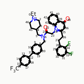 CCN1CCC(CN(Cc2ccc(-c3ccc(C(F)(F)F)cc3)cc2)C(=O)Cn2c(CCc3cccc(F)c3F)cc(=O)c3ccccc32)CC1